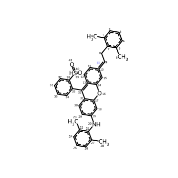 Cc1cccc(C)c1C/C=c1\ccc2c(c1)Oc1cc(Nc3c(C)cccc3C)ccc1C=2c1ccccc1[SH](=O)=O